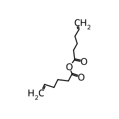 C=CCCCC(=O)OC(=O)CCCC=C